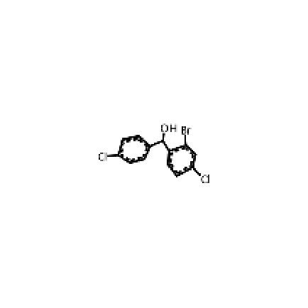 OC(c1ccc(Cl)cc1)c1ccc(Cl)cc1Br